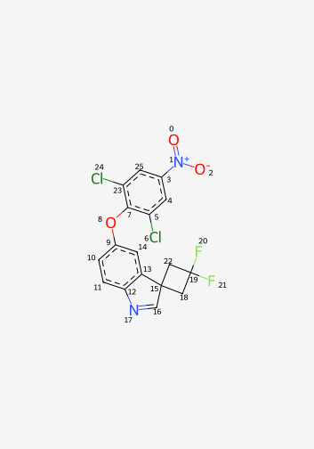 O=[N+]([O-])c1cc(Cl)c(Oc2ccc3c(c2)C2(C=N3)CC(F)(F)C2)c(Cl)c1